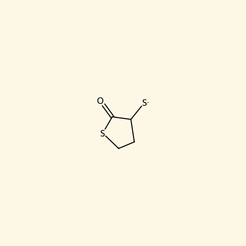 O=C1SCCC1[S]